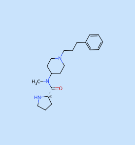 CN(C(=O)[C@@H]1CCCN1)C1CCN(CCCc2ccccc2)CC1